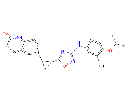 Cc1cc(Nc2noc(C3CC3c3ccc4[nH]c(=O)ccc4c3)n2)ccc1OC(F)F